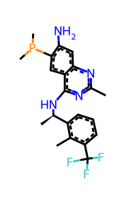 Cc1nc(N[C@H](C)c2cccc(C(F)(F)F)c2C)c2cc(P(C)C)c(N)cc2n1